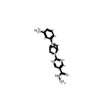 CNC(=O)c1cnc(N2CC3CC2CN3c2cccc(C)c2)nc1